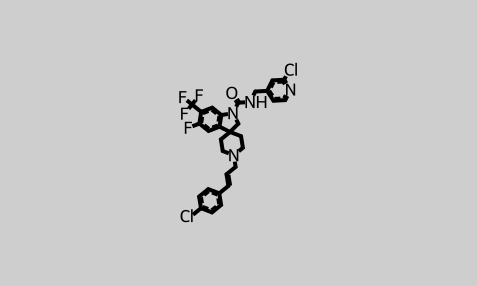 O=C(NCc1ccnc(Cl)c1)N1CC2(CCN(CC=Cc3ccc(Cl)cc3)CC2)c2cc(F)c(C(F)(F)F)cc21